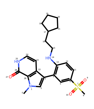 Cn1cc(-c2cc(S(C)(=O)=O)ccc2NCCC2CCCC2)c2cc[nH]c(=O)c21